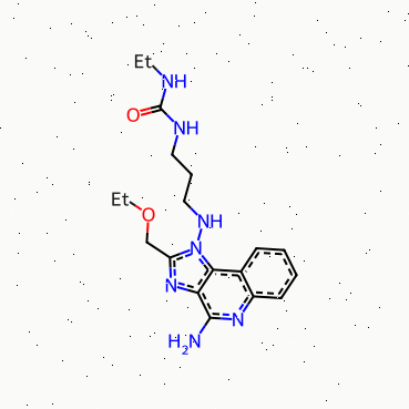 CCNC(=O)NCCCNn1c(COCC)nc2c(N)nc3ccccc3c21